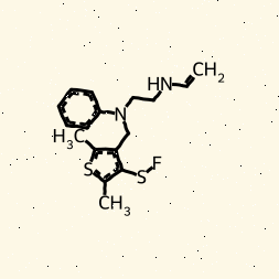 C=CNCCN(Cc1c(C)sc(C)c1SF)c1ccccc1